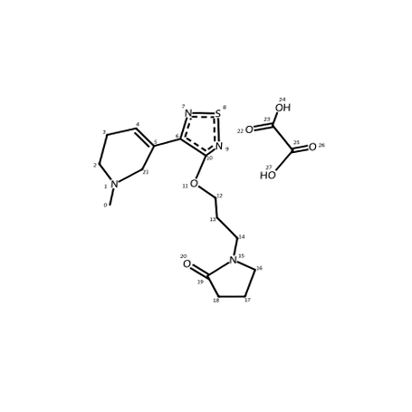 CN1CCC=C(c2nsnc2OCCCN2CCCC2=O)C1.O=C(O)C(=O)O